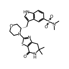 CN(C)S(=O)(=O)c1ccc2[nH]cc(C[C@H]3COCCN3c3nc4c(s3)C(=O)NC(C)(C)C4)c2c1